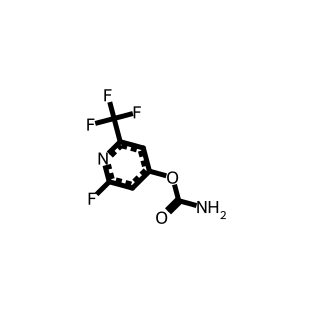 NC(=O)Oc1cc(F)nc(C(F)(F)F)c1